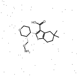 CC1(C)CCc2sc([C@H]3CCOC[C@H]3CON)c(C(=O)O)c2C1